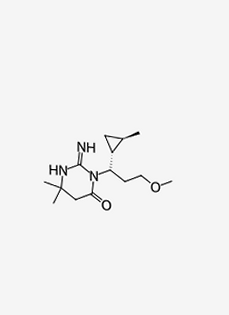 COCCC([C@@H]1C[C@H]1C)N1C(=N)NC(C)(C)CC1=O